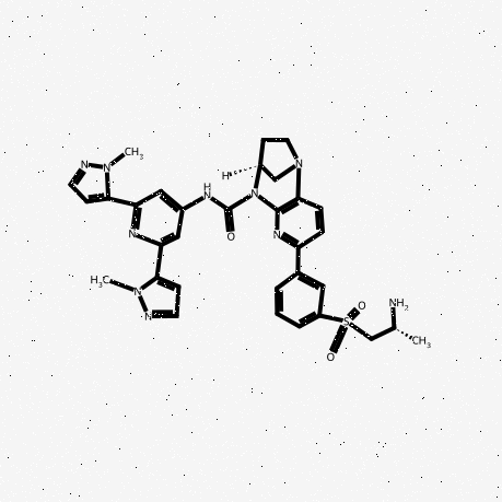 C[C@@H](N)CS(=O)(=O)c1cccc(-c2ccc3c(n2)N(C(=O)Nc2cc(-c4ccnn4C)nc(-c4ccnn4C)c2)[C@H]2CCN3C2)c1